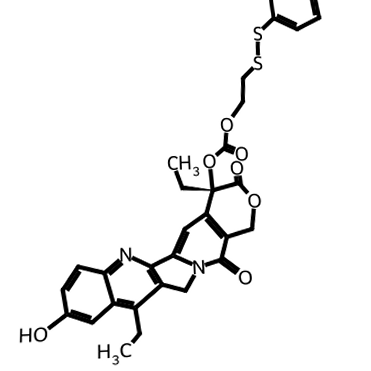 CCc1c2c(nc3ccc(O)cc13)-c1cc3c(c(=O)n1C2)COC(=O)[C@@]3(CC)OC(=O)OCCSSc1ccccn1